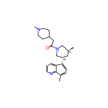 Cc1ccc([C@H]2C[C@H](C)CN(C(=O)CC3CCN(C)CC3)C2)c2cccnc12